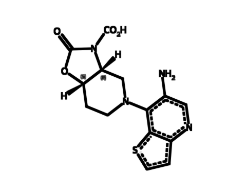 Nc1cnc2ccsc2c1N1CC[C@@H]2OC(=O)N(C(=O)O)[C@@H]2C1